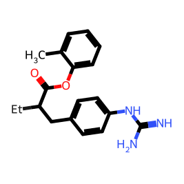 CCC(Cc1ccc(NC(=N)N)cc1)C(=O)Oc1ccccc1C